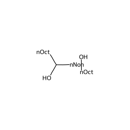 CCCCCCCCCC(O)CCCCCCCC.CCCCCCCCO